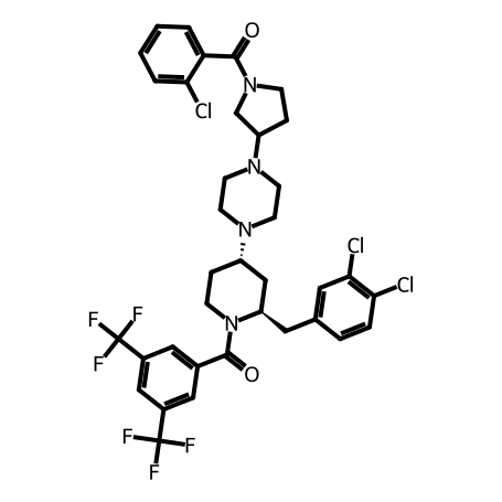 O=C(c1ccccc1Cl)N1CCC(N2CCN([C@H]3CCN(C(=O)c4cc(C(F)(F)F)cc(C(F)(F)F)c4)[C@H](Cc4ccc(Cl)c(Cl)c4)C3)CC2)C1